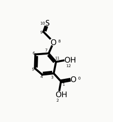 O=C(O)c1cccc(OC=S)c1O